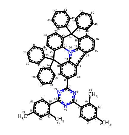 Cc1ccc(-c2nc(-c3cc4c5c(c3)c3cccc6c3n5-c3c(cccc3C4(c3ccccc3)c3ccccc3)C6(c3ccccc3)c3ccccc3)nc(-c3ccc(C)cc3C)n2)c(C)c1